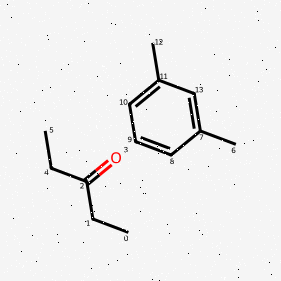 CCC(=O)CC.Cc1cccc(C)c1